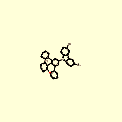 CC(C)(C)c1ccc2c(c1)c1cc(C(C)(C)C)ccc1n2-c1cc(-c2ccccc2)c(-c2c(C#N)cccc2C#N)c(-c2ccccc2)c1